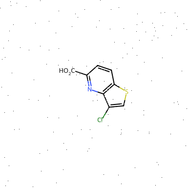 O=C(O)c1ccc2scc(Cl)c2n1